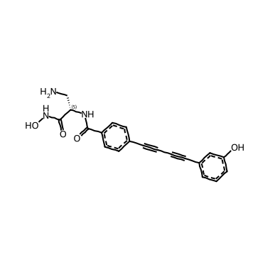 NC[C@H](NC(=O)c1ccc(C#CC#Cc2cccc(O)c2)cc1)C(=O)NO